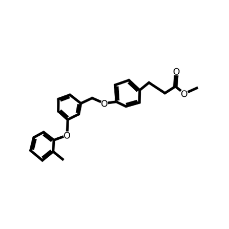 COC(=O)CCc1ccc(OCc2cccc(Oc3ccccc3C)c2)cc1